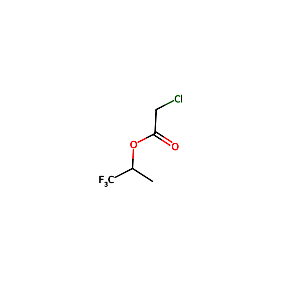 CC(OC(=O)CCl)C(F)(F)F